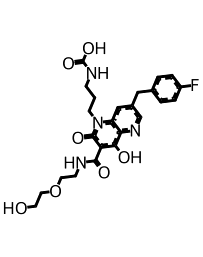 O=C(O)NCCCn1c(=O)c(C(=O)NCCOCCO)c(O)c2ncc(Cc3ccc(F)cc3)cc21